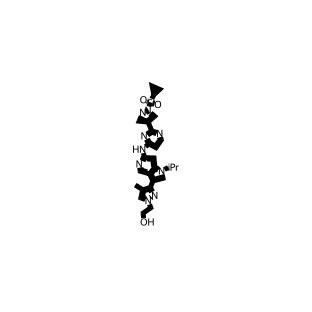 Cc1cn(CCO)nc1-c1cn(C(C)C)c2cc(Nc3ccnc(-c4cnn(S(=O)(=O)C5CC5)c4)n3)ncc12